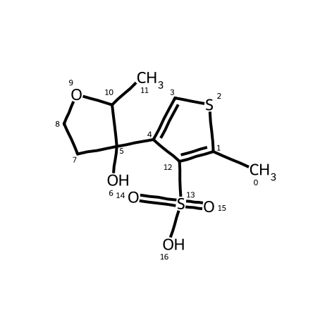 Cc1scc(C2(O)CCOC2C)c1S(=O)(=O)O